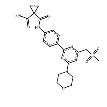 CS(=O)(=O)Cc1cc(N2CCOCC2)nc(-c2ccc(NC(=O)C3(C(N)=O)CC3)cc2)n1